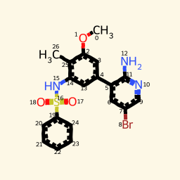 COc1cc(-c2cc(Br)cnc2N)cc(NS(=O)(=O)c2ccccc2)c1C